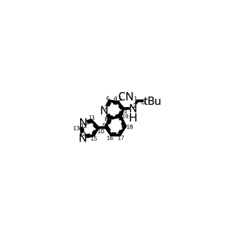 CC(C)(C)CNc1c(C#N)cnc2c(-c3cncnc3)cccc12